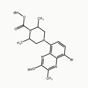 COc1nc2c(N3CC(C)N(C(=O)OC(C)(C)C)C(C)C3)ccc(Br)c2nc1C